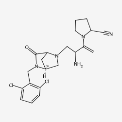 C=C(C(N)CN1C[C@@H]2CC1C(=O)N2Cc1c(Cl)cccc1Cl)N1CCCC1C#N